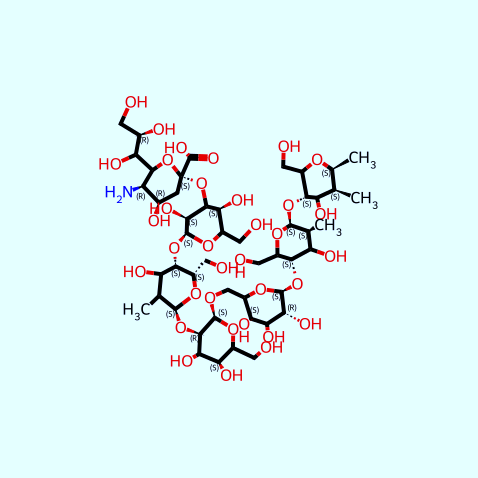 CC1C(O)[C@H](O[C@@H]2OC(CO)[C@H](O)C(O[C@]3(C(=O)O)C[C@@H](O)[C@@H](N)C(C(O)[C@H](O)CO)O3)[C@@H]2O)[C@H](CO)O[C@H]1O[C@@H]1C(O)[C@H](O)C(CO)O[C@@H]1OCC1O[C@@H](O[C@@H]2C(CO)O[C@@H](O[C@@H]3C(CO)O[C@@H](C)[C@@H](C)C3O)[C@@H](C)C2O)[C@H](O)C(O)[C@@H]1O